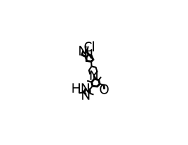 Cc1nc(C)c(-c2cc(C=O)c(C)c(N3CCC(c4ccn5c(Cl)ncc5c4)CC3)c2C)[nH]1